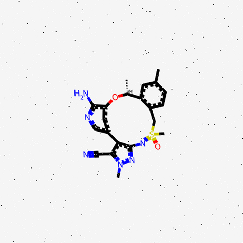 Cc1ccc2c(c1)[C@@H](C)Oc1cc(cnc1N)-c1c(nn(C)c1C#N)N=S(C)(=O)C2